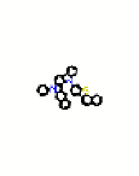 c1ccc(-n2c3cc4ccccc4cc3c3c2ccc2c4ccccc4n(-c4ccc5c(c4)sc4c6ccccc6ccc54)c23)cc1